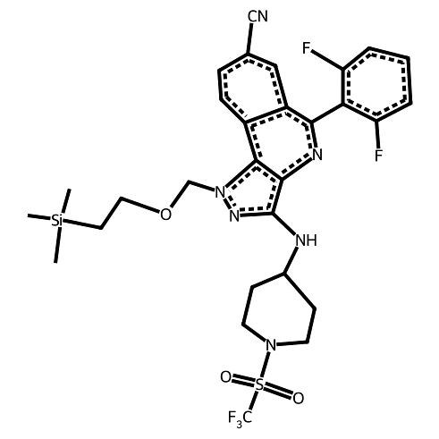 C[Si](C)(C)CCOCn1nc(NC2CCN(S(=O)(=O)C(F)(F)F)CC2)c2nc(-c3c(F)cccc3F)c3cc(C#N)ccc3c21